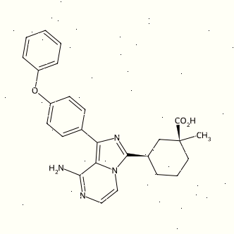 C[C@]1(C(=O)O)CCC[C@@H](c2nc(-c3ccc(Oc4ccccc4)cc3)c3c(N)nccn23)C1